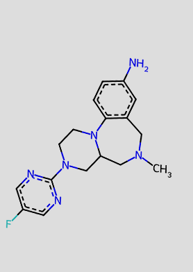 CN1Cc2cc(N)ccc2N2CCN(c3ncc(F)cn3)CC2C1